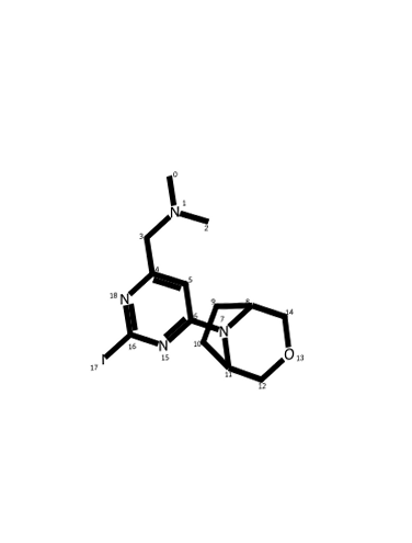 CN(C)Cc1cc(N2C3CCC2COC3)nc(I)n1